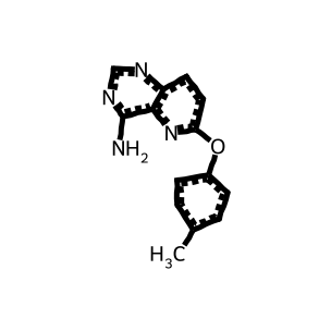 Cc1ccc(Oc2ccc3ncnc(N)c3n2)cc1